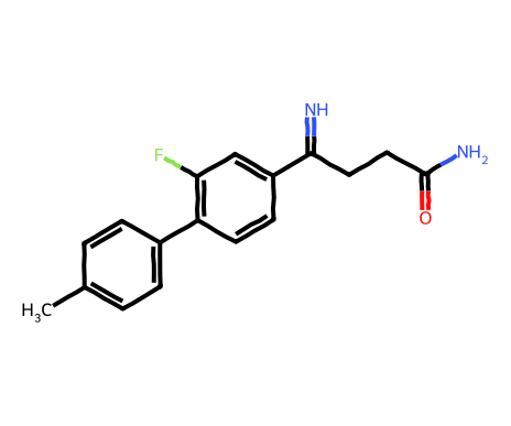 Cc1ccc(-c2ccc(C(=N)CCC(N)=O)cc2F)cc1